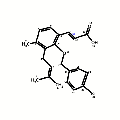 CC(C)=CCc1c(C)ccc(/C=C/C(=O)O)c1OCc1ccc(Br)cc1